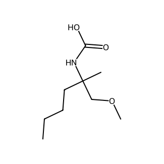 CCCCC(C)(COC)NC(=O)O